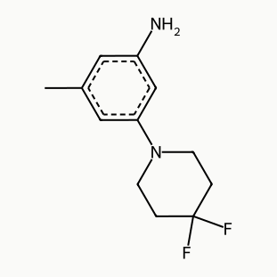 Cc1cc(N)cc(N2CCC(F)(F)CC2)c1